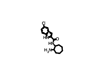 NC1CCCCCC1NC(=O)c1cc2cc(Cl)ccc2[nH]1